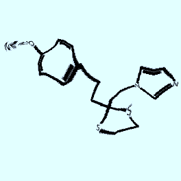 COc1ccc(CCC2(Cn3ccnc3)SCCS2)cc1